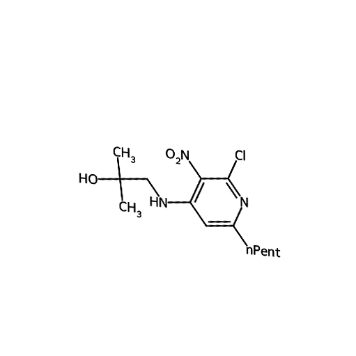 CCCCCc1cc(NCC(C)(C)O)c([N+](=O)[O-])c(Cl)n1